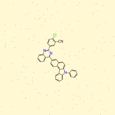 N#Cc1cc(-c2nc(-c3ccc4c(ccc5c4c4ccccc4n5-c4ccccc4)c3)c3ccccc3n2)ccc1Cl